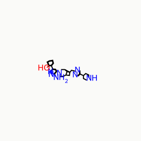 Nc1nnc(-c2ccccc2O)cc1N1CCC2CC3(Cc4ncc(C5CCNCC5)cn4)C(C1)C23